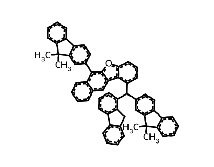 CC1(C)c2ccccc2-c2ccc(-c3c4ccccc4cc4c3oc3cccc(C(c5ccc6c(c5)C(C)(C)c5ccccc5-6)c5cccc6c5Cc5ccccc5-6)c34)cc21